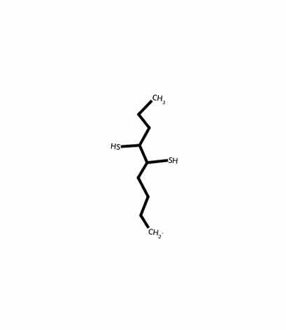 [CH2]CCCC(S)C(S)CCC